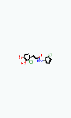 COc1ccc(C=CC(=O)Nc2cccc(Cl)c2)c(Cl)c1O